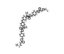 C=CC(=O)OCC1CCC(COC(=O)NC2CCC(CC3CCC(NC(=O)OCC4CCC(COC(=O)C=C)CC4)CC3)CC2)CC1